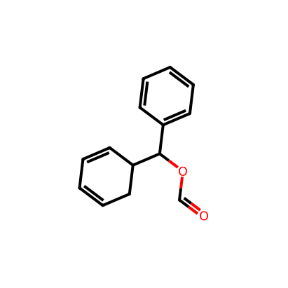 O=COC(c1ccccc1)C1C=CC=CC1